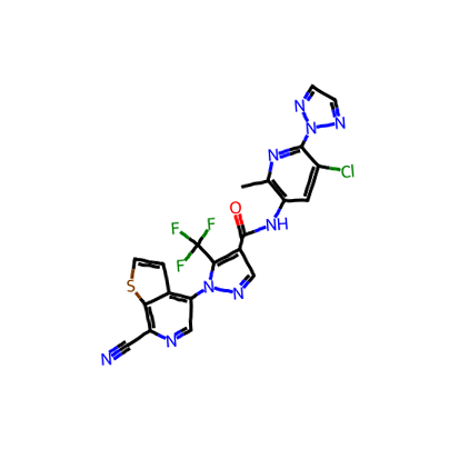 Cc1nc(-n2nccn2)c(Cl)cc1NC(=O)c1cnn(-c2cnc(C#N)c3sccc23)c1C(F)(F)F